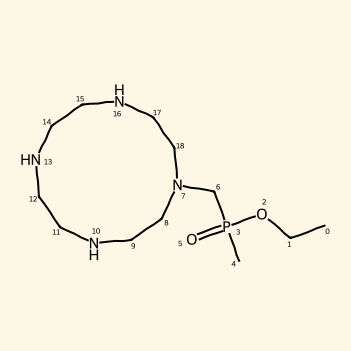 CCOP(C)(=O)CN1CCNCCNCCNCC1